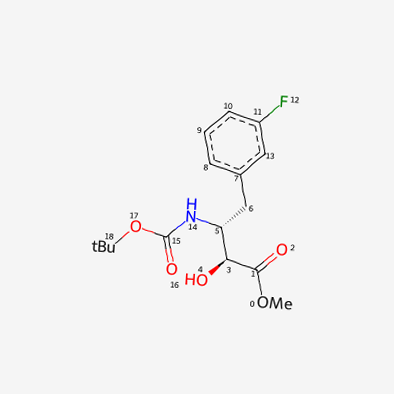 COC(=O)[C@@H](O)[C@@H](Cc1cccc(F)c1)NC(=O)OC(C)(C)C